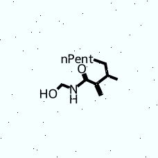 C=C(C(=O)NCO)C(C)CCCCCC